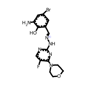 Nc1cc(Br)cc(/C=N/Nc2ncc(F)c(N3CCOCC3)n2)c1O